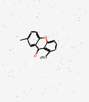 Cc1ccc2oc3cccc(C(C)(C)C)c3c(=O)c2c1